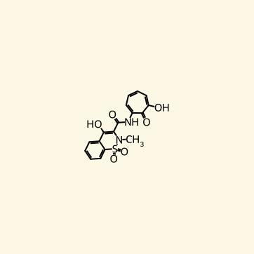 CN1C(C(=O)Nc2ccccc(O)c2=O)=C(O)c2ccccc2S1(=O)=O